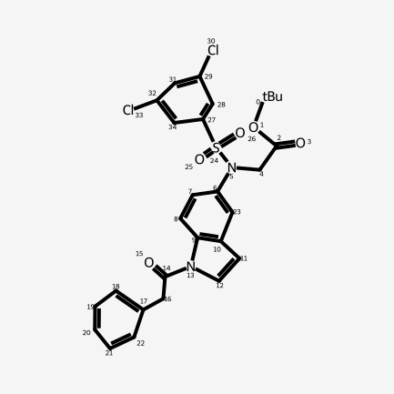 CC(C)(C)OC(=O)CN(c1ccc2c(ccn2C(=O)Cc2ccccc2)c1)S(=O)(=O)c1cc(Cl)cc(Cl)c1